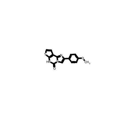 COc1ccc(-c2cn3c(=O)[nH]c4sccc4c3n2)cc1